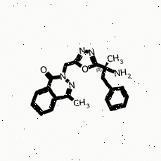 Cc1nn(Cc2nnc([C@](C)(N)Cc3ccccc3)o2)c(=O)c2ccccc12